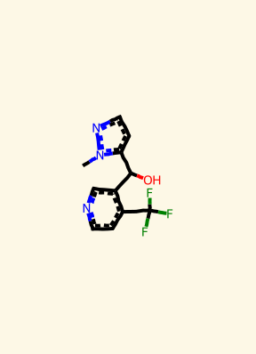 Cn1nccc1C(O)c1cnccc1C(F)(F)F